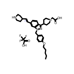 CCCCCOc1ccc(Cn2nc(C3CCN(CC(=O)O)CC3)c3ccc(/C=C/C4CCNCC4)cc32)cc1.O=C(O)C(F)(F)F